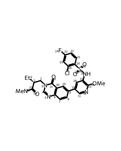 CC[C@@H](Cn1cnc2ccc(-c3cnc(OC)c(NS(=O)(=O)c4ccc(F)cc4Cl)c3)cc2c1=O)C(=O)NC